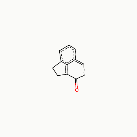 O=C1CC=c2cccc3c2=C1CC3